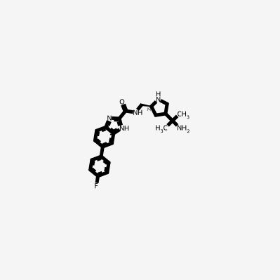 CC(C)(N)C1CN[C@H](CNC(=O)c2nc3ccc(-c4ccc(F)cc4)cc3[nH]2)C1